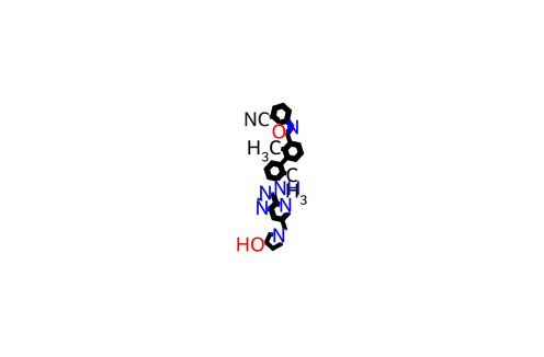 Cc1c(Nc2ncnc3cc(CN4CCC(O)C4)cnc23)cccc1-c1cccc(-c2nc3cccc(C#N)c3o2)c1C